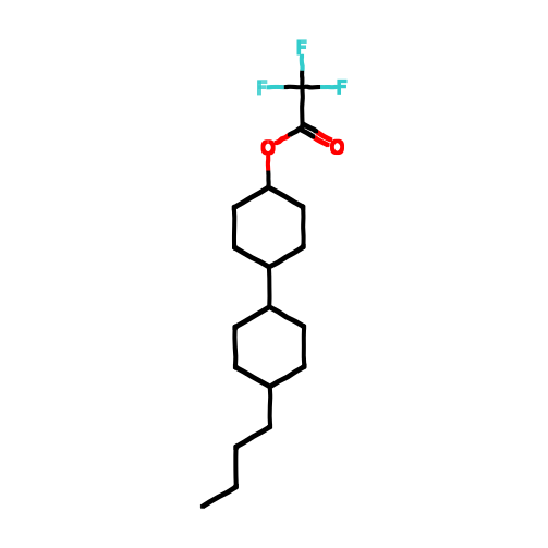 CCCCC1CCC(C2CCC(OC(=O)C(F)(F)F)CC2)CC1